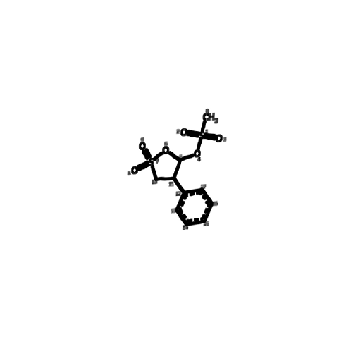 CS(=O)(=O)OC1OS(=O)(=O)CC1c1ccccc1